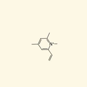 C=Cc1cc(C)cc(C)[n+]1C